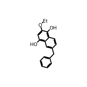 CCOc1cc(O)c2cc(Cc3ccccc3)ccc2c1O